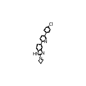 Clc1ccc(-c2ccc(-c3ccc4[nH]c(N5CCC5)nc4c3)nc2)cc1